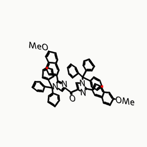 COc1ccc2cc(-c3nc(C(=O)c4cn(C(c5ccccc5)(c5ccccc5)c5ccccc5)c(-c5ccc6cc(OC)ccc6c5)n4)cn3C(c3ccccc3)(c3ccccc3)c3ccccc3)ccc2c1